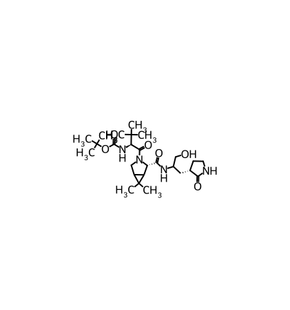 CC(C)(C)OC(=O)N[C@H](C(=O)N1CC2C([C@H]1C(=O)NC(CO)C[C@@H]1CCNC1=O)C2(C)C)C(C)(C)C